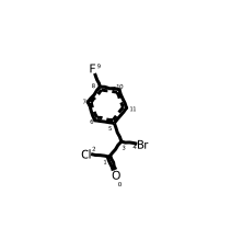 O=C(Cl)C(Br)c1ccc(F)cc1